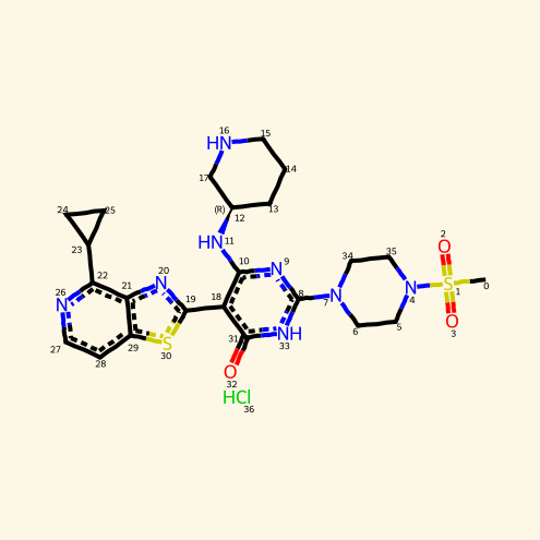 CS(=O)(=O)N1CCN(c2nc(N[C@@H]3CCCNC3)c(-c3nc4c(C5CC5)nccc4s3)c(=O)[nH]2)CC1.Cl